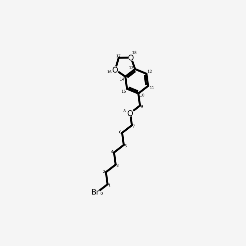 BrCCCCCCCOCc1ccc2c(c1)OCO2